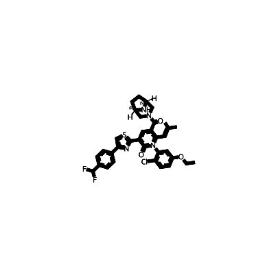 CCOc1ccc(Cl)c(-n2c(C=C(C)C)c(C(=O)N3C[C@H]4CC[C@@H](C3)N4)cc(-c3nc(-c4ccc(C(F)F)cc4)cs3)c2=O)c1